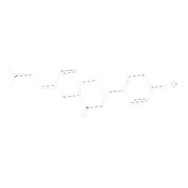 C=C(C)COc1ccc2oc(-c3ccc(OC)cc3)cc(=O)c2c1